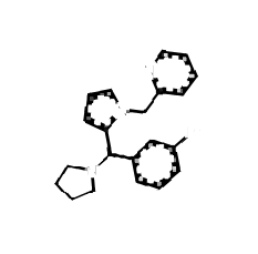 Brc1cccc(C(c2cccn2Cc2ccccn2)N2CCCC2)c1